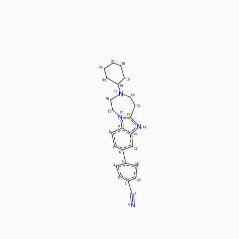 N#Cc1ccc(-c2ccc3c(c2)nc2n3CCN(C3CCCCC3)CC2)cc1